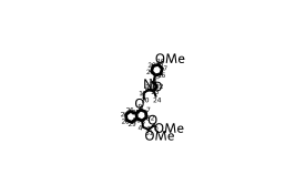 COC(=O)C(Cc1ccc(OCCc2nc(-c3ccc(OC)cc3)oc2C)c2ccccc12)OC